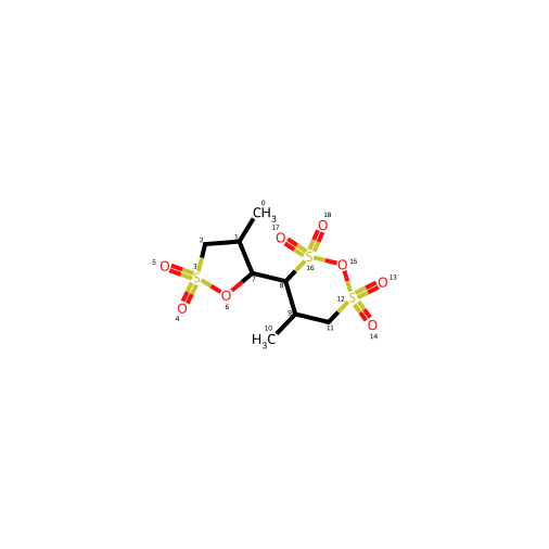 CC1CS(=O)(=O)OC1C1C(C)CS(=O)(=O)OS1(=O)=O